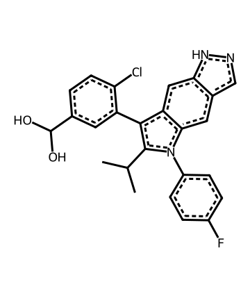 CC(C)c1c(-c2cc(C(O)O)ccc2Cl)c2cc3[nH]ncc3cc2n1-c1ccc(F)cc1